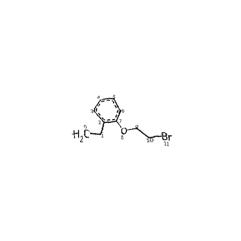 [CH2]Cc1ccccc1OCCBr